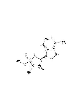 C[C@@H]1[C@H](n2cnc3c(N)ccnc32)O[C@](F)(CO)[C@H]1O